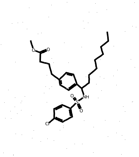 CCCCCCCCC(NS(=O)(=O)c1ccc(Cl)cc1)c1ccc(CCCC(=O)OC)cc1